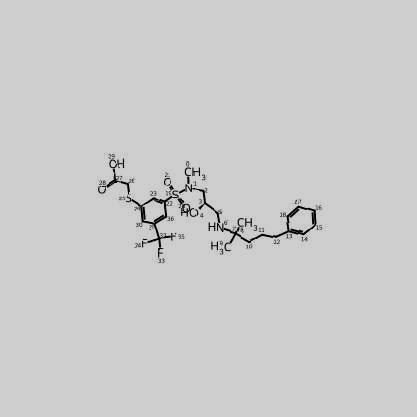 CN(C[C@H](O)CNC(C)(C)CCCc1ccccc1)S(=O)(=O)c1cc(SCC(=O)O)cc(C(F)(F)F)c1